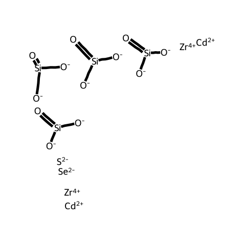 O=[Si]([O-])[O-].O=[Si]([O-])[O-].O=[Si]([O-])[O-].O=[Si]([O-])[O-].[Cd+2].[Cd+2].[S-2].[Se-2].[Zr+4].[Zr+4]